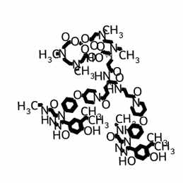 CCNC(=O)c1nnc(-c2cc(C(C)C)c(O)cc2O)n1-c1ccc(OC2CCN(C(=O)CCNC(=O)[C@@H](CCC(=O)N3CCC(Oc4ccc(-n5c(C(=O)NCC)nnc5-c5cc(C(C)C)c(O)cc5O)cc4)CC3)NC(=O)CC[C@H](C(=O)O)N(CC)CCN(C)CC(=O)OC3OC(=O)CN(C)CCN(C)CC(=O)O3)CC2)cc1